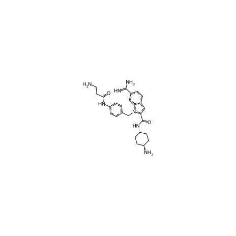 N=C(N)c1ccc2cc(C(=O)N[C@H]3CC[C@H](N)CC3)n(Cc3ccc(NC(=O)CCN)cc3)c2c1